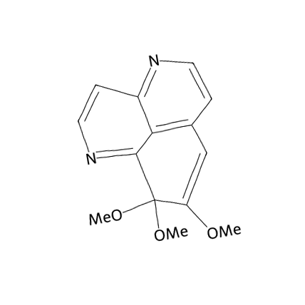 COC1=Cc2ccnc3ccnc(c23)C1(OC)OC